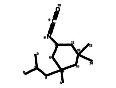 CC(C)CC1(C)CC(N=C=O)CC(C)(C)C1